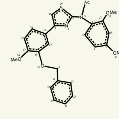 COc1ccc(N(C(C)=O)c2nc(-c3ccc(OC)c(OCc4ccccc4)c3)cs2)c(OC)c1